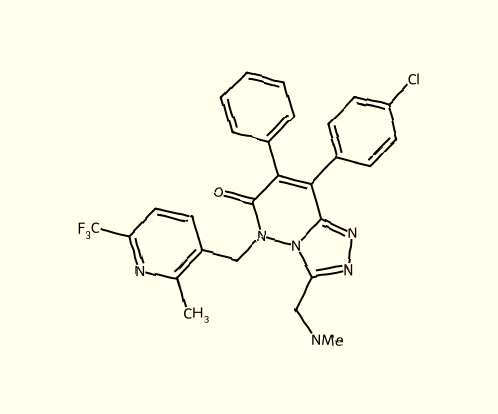 CNCc1nnc2c(-c3ccc(Cl)cc3)c(-c3ccccc3)c(=O)n(Cc3ccc(C(F)(F)F)nc3C)n12